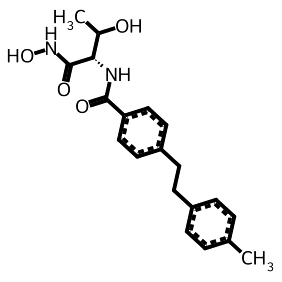 Cc1ccc(CCc2ccc(C(=O)N[C@H](C(=O)NO)C(C)O)cc2)cc1